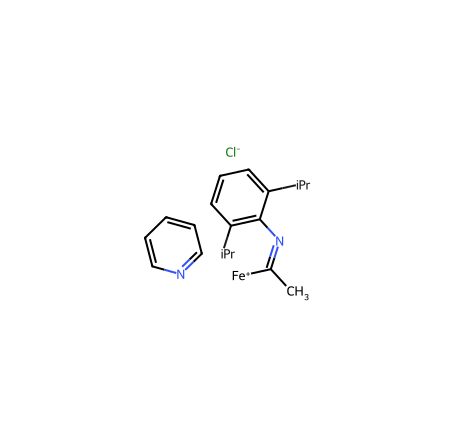 C[C]([Fe+])=Nc1c(C(C)C)cccc1C(C)C.[Cl-].c1ccncc1